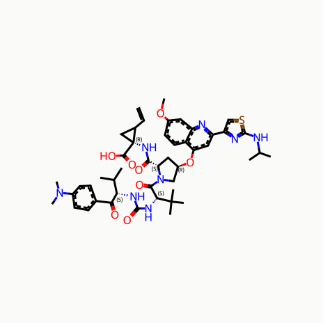 C=CC1C[C@]1(NC(=O)[C@@H]1C[C@@H](Oc2cc(-c3csc(NC(C)C)n3)nc3cc(OC)ccc23)CN1C(=O)[C@@H](NC(=O)N[C@H](C(=O)c1ccc(N(C)C)cc1)C(C)C)C(C)(C)C)C(=O)O